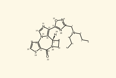 CCCN(CCC)Cc1noc(-c2ncn3c2[C@@H]2CCN2C(=O)c2sccc2-3)n1